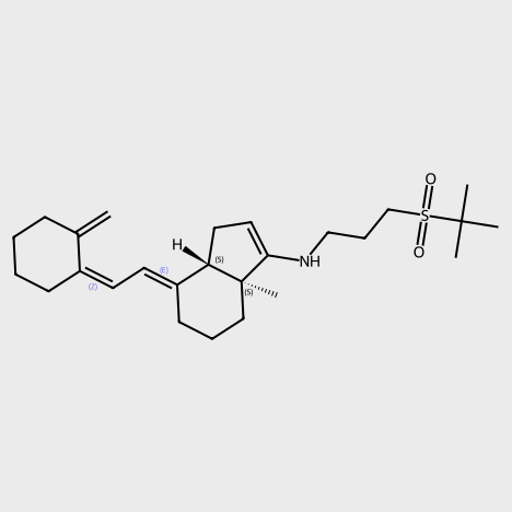 C=C1CCCC/C1=C/C=C1\CCC[C@]2(C)C(NCCCS(=O)(=O)C(C)(C)C)=CC[C@@H]12